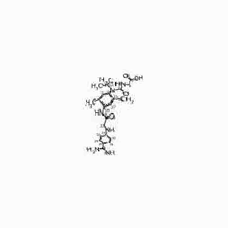 Cc1cc(N(C(=O)NCC(=O)O)C(C)C)c(C)cc1NC(=O)CNc1ccc(C(=N)N)cc1